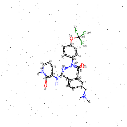 CN(C)Cc1ccc2c(Nc3cccn(C)c3=O)nn(-c3ccc(OC(F)(F)F)cc3)c(=O)c2c1